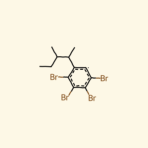 CCC(C)C(C)c1[c]c(Br)c(Br)c(Br)c1Br